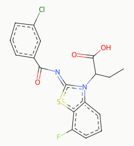 CCC(C(=O)O)n1c(=NC(=O)c2cccc(Cl)c2)sc2c(F)cccc21